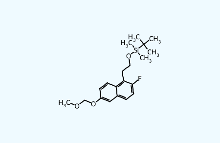 COCOc1ccc2c(CCO[Si](C)(C)C(C)(C)C)c(F)ccc2c1